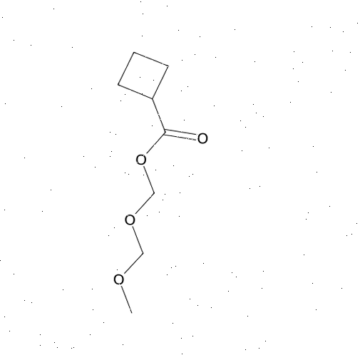 COCOCOC(=O)C1CCC1